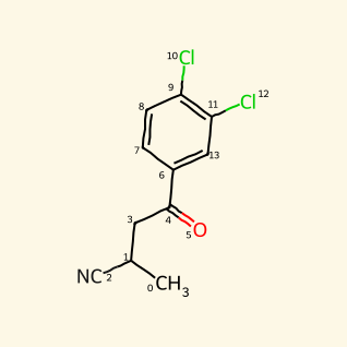 CC(C#N)CC(=O)c1ccc(Cl)c(Cl)c1